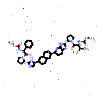 COC(=O)N[C@H](C(=O)N1CCC[C@H]1c1nc2ccc(-c3ccc4cc(-c5cnc([C@@H]6CCCN6C(=O)[C@H](NC(=O)OC)c6ccccc6)[nH]5)ccc4c3)nc2[nH]1)C(C)C